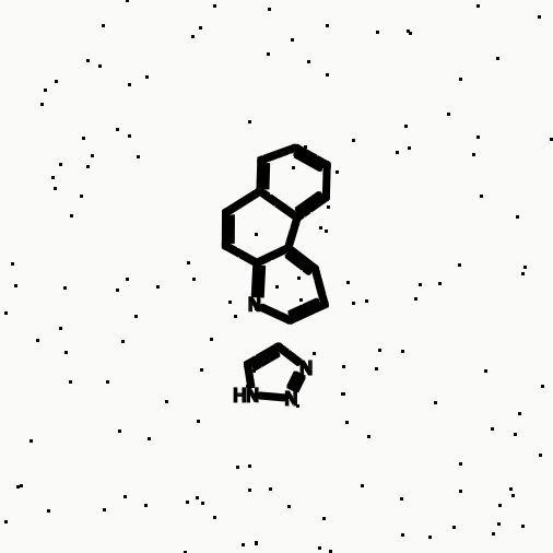 c1c[nH]nn1.c1ccc2c(c1)ccc1ncccc12